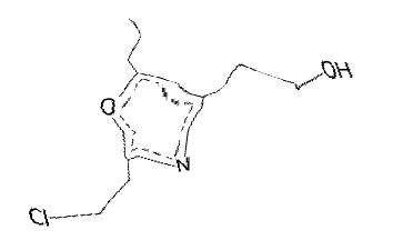 Cc1oc(CCl)nc1CCO